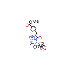 CCOC(=O)C1=C(C)N=c2[nH]/c(=C\c3ccc(C(=O)OC)cc3)c(=O)n2C1c1ccc2c(c1)OCC2